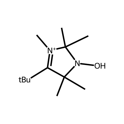 C[N+]1=C(C(C)(C)C)C(C)(C)N(O)C1(C)C